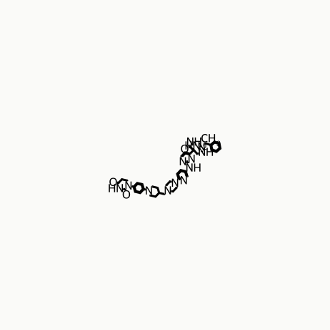 CC(c1ccccc1)N1NCC(C(N)=O)(c2ccnc(Nc3ccc(N4CCN(CC5CCN(c6ccc(N7CCC(=O)NC7=O)cc6)CC5)CC4)nc3)n2)N1